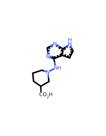 O=C(O)C1CCCN(Nc2ncnc3[nH]ccc23)C1